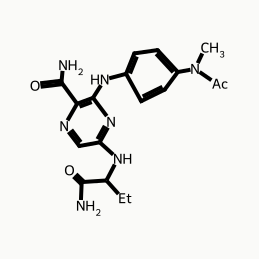 CCC(Nc1cnc(C(N)=O)c(Nc2ccc(N(C)C(C)=O)cc2)n1)C(N)=O